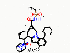 COc1ccc(C2CCCCC2)c2c1cc1n2CC2=C(C(=O)NS(=O)(=O)CC(C)C)C2=C2C=CC[C@@H](C(=O)N3C4CC3CN(C)C4)C21